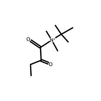 CCC(=O)C(=O)[N+](C)(C)C(C)(C)C